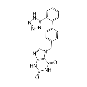 O=c1[nH]c(=O)c2c(ncn2Cc2ccc(-c3ccccc3-c3nnn[nH]3)cc2)[nH]1